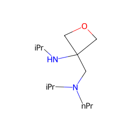 CCCN(CC1(NC(C)C)COC1)C(C)C